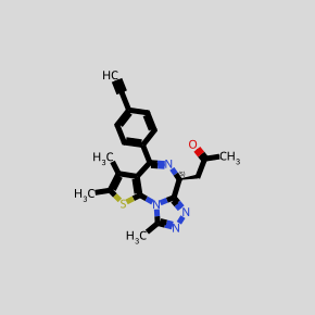 C#Cc1ccc(C2=N[C@@H](CC(C)=O)c3nnc(C)n3-c3sc(C)c(C)c32)cc1